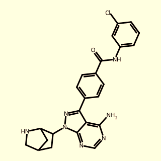 Nc1ncnc2c1c(-c1ccc(C(=O)Nc3cccc(Cl)c3)cc1)nn2C1CC2CNC1C2